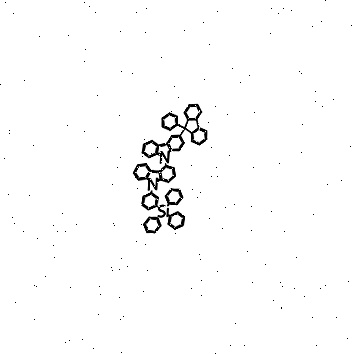 c1ccc(C2(c3ccc4c(c3)c3ccccc3n4-c3cccc4c3c3ccccc3n4-c3cccc([Si](c4ccccc4)(c4ccccc4)c4ccccc4)c3)c3ccccc3-c3ccccc32)cc1